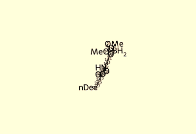 B[C@@H]1O[C@H](COC)C(OC)[C@@H]1OCCCCCCNC(=O)COC(=O)CCCCCCCCCCCCCCC